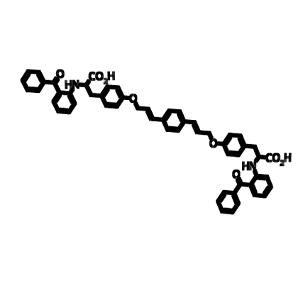 O=C(c1ccccc1)c1ccccc1NC(Cc1ccc(OC/C=C/c2ccc(/C=C/COc3ccc(CC(Nc4ccccc4C(=O)c4ccccc4)C(=O)O)cc3)cc2)cc1)C(=O)O